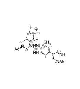 CN/C=C(\C=N)c1ccc(NC(=N)C2=C(NC3CCOC3)CCN(C(C)=O)C2)c(C)c1